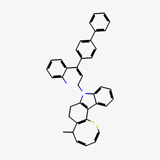 CC1/C=C\C=C/SC2=C1CCc1c2c2ccccc2n1C/C=C(/c1ccc(-c2ccccc2)cc1)c1ccccc1N